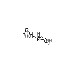 N#Cc1ccccc1OCC(O)CNCCc1nc2cc(-c3ccc(=O)[nH]n3)ccc2[nH]1